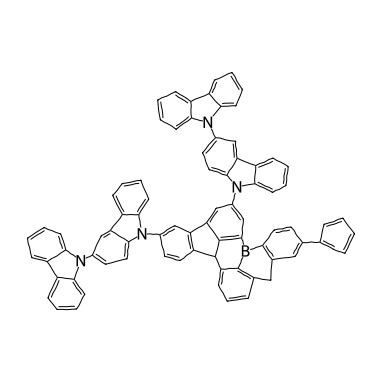 c1ccc(-c2ccc3c(c2)Cc2cccc4c2B3c2cc(-n3c5ccccc5c5cc(-n6c7ccccc7c7ccccc76)ccc53)cc3c2C4c2ccc(-n4c5ccccc5c5cc(-n6c7ccccc7c7ccccc76)ccc54)cc2-3)cc1